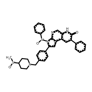 C[S+]([O-])C1CCN(Cc2ccc(-c3cc4c5cc(-c6ccccc6)c(=O)[nH]c5cnc4n3[S+]([O-])c3ccccc3)cc2)CC1